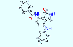 O=C(Nc1ccc(Nc2ccc(F)cc2)c2c1C(=O)NC2)c1ccccc1